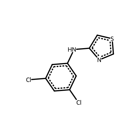 Clc1cc(Cl)cc(Nc2cscn2)c1